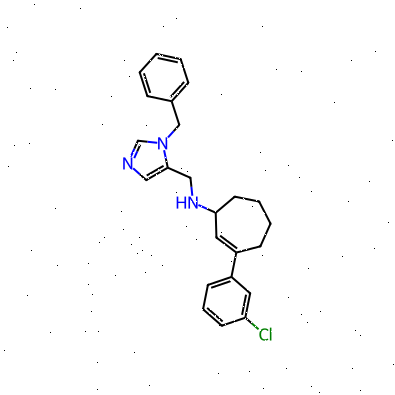 Clc1cccc(C2=CC(NCc3cncn3Cc3ccccc3)CCCC2)c1